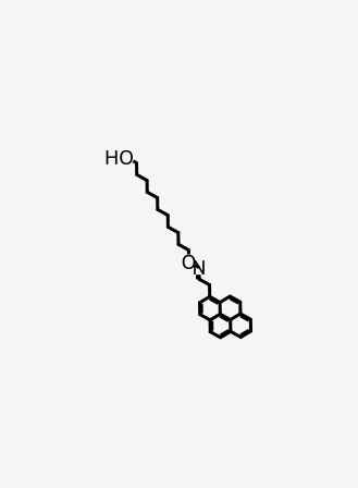 OCCCCCCCCCCCON=CCc1ccc2ccc3cccc4ccc1c2c34